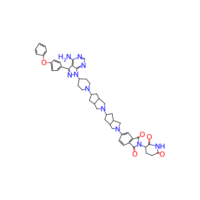 Nc1ncnc2c1c(-c1ccc(Oc3ccccc3)cc1)nn2C1CCN(C2CC3CN(C4CC5CN(c6ccc7c(c6)C(=O)N(C6CCC(=O)NC6=O)C7=O)CC5C4)CC3C2)CC1